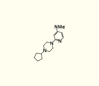 CNc1ccnc(N2CCN(C3CCCC3)CC2)c1